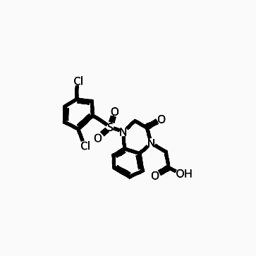 O=C(O)CN1C(=O)CN(S(=O)(=O)c2cc(Cl)ccc2Cl)c2ccccc21